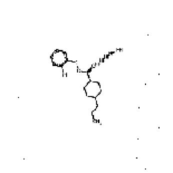 CCCC1CCC(C(=O)OSc2ccccc2Cl)CC1.F.F.F.F.F